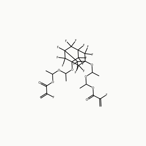 C=C(F)C(=O)OC(C)OC(C)OC12C(F)(F)C3(F)C(F)(F)C(F)(C1(F)F)C(F)(F)C(OC(C)OC(C)OC(=O)C(=C)F)(C3(F)F)C2(F)F